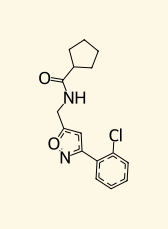 O=C(NCc1cc(-c2ccccc2Cl)no1)C1CCCC1